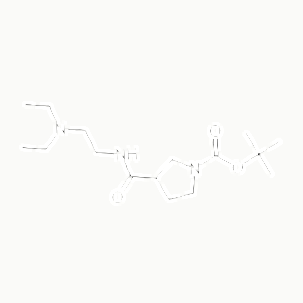 CCN(CC)CCNC(=O)C1CCN(C(=O)OC(C)(C)C)C1